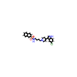 O=S(=O)(NCCCCN1CC=C(c2c[nH]c3ccc(Cl)cc23)CC1)c1ccc2ccccc2c1